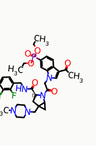 CCOP(=O)(OCC)c1ccc2c(C(C)=O)cn(CC(=O)N3C4CC4(CN4CCN(C)CC4)C[C@H]3C(=O)NCc3cccc(Cl)c3F)c2c1